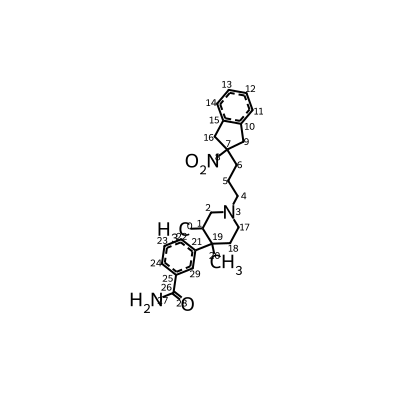 CC1CN(CCCC2([N+](=O)[O-])Cc3ccccc3C2)CCC1(C)c1cccc(C(N)=O)c1